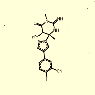 CCC[C@H]1C(=O)N(C)C(=N)N[C@]1(C)c1cc(-c2ccc(F)c(C#N)c2)cs1